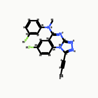 CCC#Cc1nnc2nc(N(C)c3cccc(F)c3)c3cc(F)ccc3n12